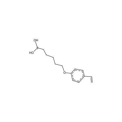 C=Cc1ccc(OCCCCCB(O)O)cc1